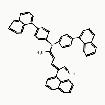 C=C/C(=C\C=C(/C)N(c1ccc(-c2cccc3ccccc23)cc1)c1ccc(-c2cccc3ccccc23)cc1)c1cccc2ccccc12